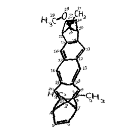 COC1(C)C2C=CC1c1cc3cc4cc5c(cc4cc3cc12)C1C=CC5C1(C)OC